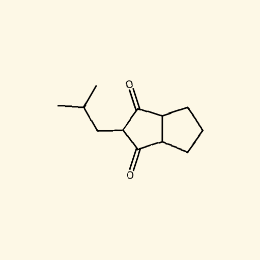 CC(C)CC1C(=O)C2CCCC2C1=O